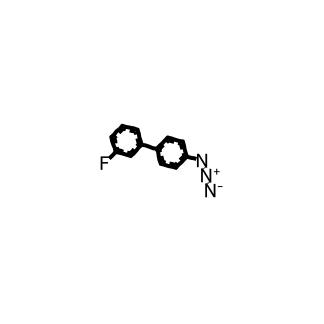 [N-]=[N+]=Nc1ccc(-c2cccc(F)c2)cc1